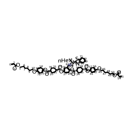 C=CC(=O)OCCCCCCOc1ccc(OC(=O)C2CCC(C(=O)Oc3ccc(OC(=O)[C@H]4CC[C@@H](C(=O)Oc5ccc(OCCCCCCOC(=O)C=C)cc5)CC4)c(/C=N/N(CCCCCC)c4nc5ccccc5s4)c3)CC2)cc1